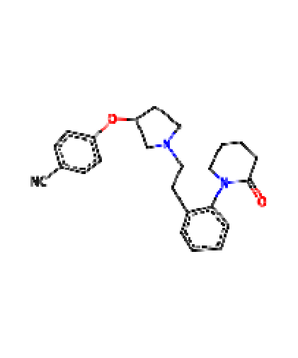 N#Cc1ccc(OC2CCN(CCc3ccccc3N3CCCCC3=O)C2)cc1